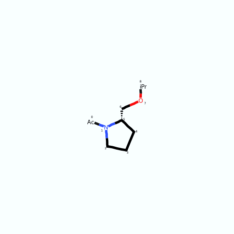 CC(=O)N1CCC[C@H]1COC(C)C